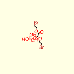 O=C(OCCBr)C(=O)OCCBr.OB(O)O